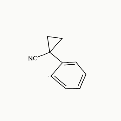 N#CC1(c2[c]cccc2)CC1